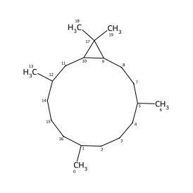 CC1CCCC(C)CCC2C(CC(C)CCC1)C2(C)C